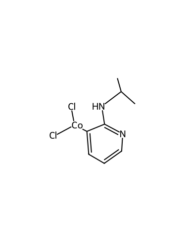 CC(C)Nc1nccc[c]1[Co]([Cl])[Cl]